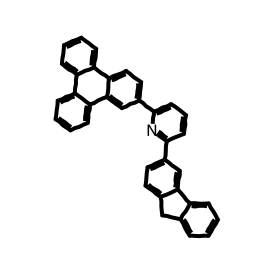 c1cc(-c2ccc3c(c2)-c2ccccc2C3)nc(-c2ccc3c4ccccc4c4ccccc4c3c2)c1